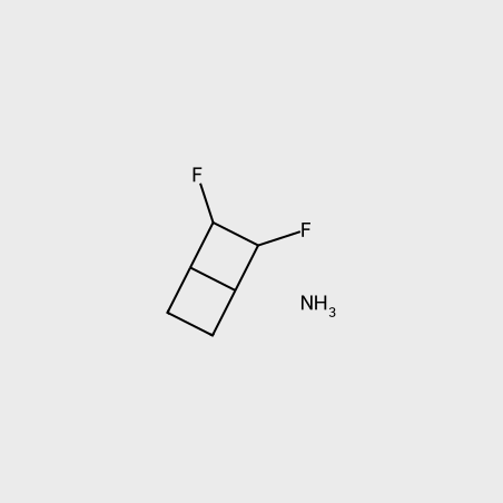 FC1C(F)C2CCC12.N